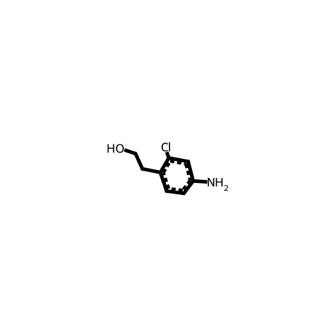 Nc1ccc(CCO)c(Cl)c1